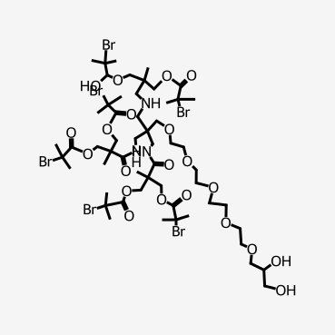 CC(CNCC(CNC(=O)C(C)(COC(=O)C(C)(C)Br)COC(=O)C(C)(C)Br)(CNC(=O)C(C)(COC(=O)C(C)(C)Br)COC(=O)C(C)(C)Br)COCCOCCOCCOCCOCC(O)CO)(COC(=O)C(C)(C)Br)COC(O)C(C)(C)Br